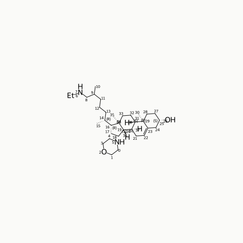 C1COCCN1.CCNCC(C)CCC[C@@H](C)[C@H]1CC[C@H]2[C@@H]3CC=C4C[C@@H](O)CC[C@]4(C)[C@H]3CC[C@]12C